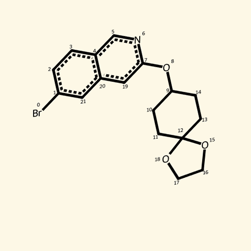 Brc1ccc2cnc(OC3CCC4(CC3)OCCO4)cc2c1